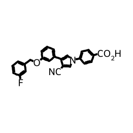 N#Cc1cn(-c2ccc(C(=O)O)cc2)cc1-c1cccc(OCc2cccc(F)c2)c1